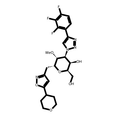 CO[C@@H]1[C@@H](n2cc(-c3ccc(F)c(F)c3F)nn2)[C@@H](O)[C@@H](CO)O[C@@H]1Cc1cc(C2CCOCC2)on1